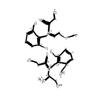 CCCOCCN(C(=O)CCl)c1c(CC)cccc1CC.CCc1cccc(C)c1N(C(=O)CCl)C(C)COC